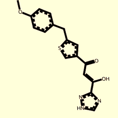 COc1ccc(Cc2cc(C(=O)C=C(O)c3nc[nH]n3)cs2)cc1